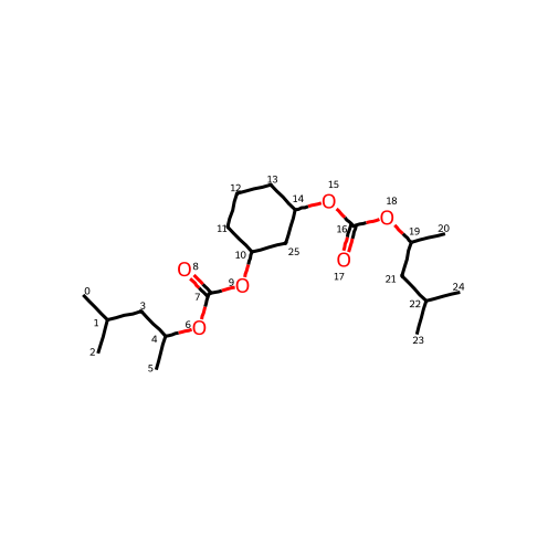 CC(C)CC(C)OC(=O)OC1CCCC(OC(=O)OC(C)CC(C)C)C1